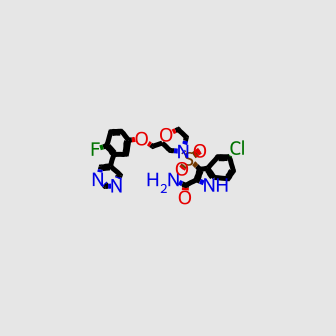 NC(=O)c1[nH]c2ccc(Cl)cc2c1S(=O)(=O)N1CCOC(COc2ccc(F)c(-c3cncnc3)c2)C1